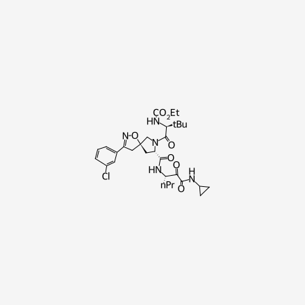 CCC[C@H](NC(=O)[C@@H]1C[C@]2(CC(c3cccc(Cl)c3)=NO2)CN1C(=O)[C@@H](NC(=O)OCC)C(C)(C)C)C(=O)C(=O)NC1CC1